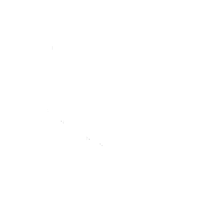 Cc1c(COc2ccccc2)nn2c1CN(C(=O)c1ccc(F)cc1)CC2